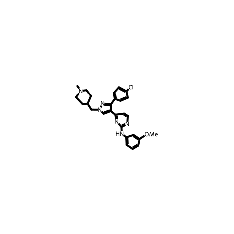 COc1cccc(Nc2nccc(-c3cn(CC4CCN(C)CC4)nc3-c3ccc(Cl)cc3)n2)c1